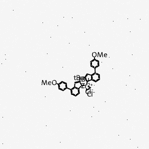 COc1ccc(-c2cccc3c2C=C(C(C)(C)C)[CH]3[Zr+2]2([CH]3C(C(C)(C)C)=Cc4c(-c5ccc(OC)cc5)cccc43)[CH2][CH2]2)cc1.[Cl-].[Cl-]